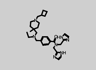 CCN(Cc1ccc(C(=O)N(Cc2ncc[nH]2)Cc2ncc[nH]2)cc1)CC1(C)CCN(CC2CCC2)CC1